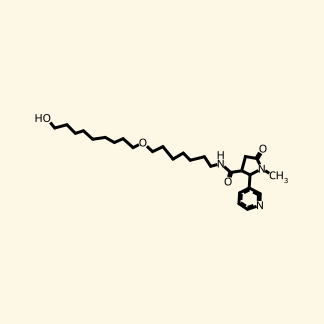 CN1C(=O)CC(C(=O)NCCCCCCCOCCCCCCCCCO)C1c1cccnc1